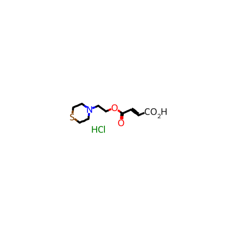 Cl.O=C(O)/C=C/C(=O)OCCN1CCSCC1